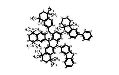 CC1(C)CCC(C)(C)c2cc(N3c4cc5c(cc4B4c6cc7c(cc6N(c6ccc8sc9ccccc9c8c6)c6cc(N8c9ccc(-c%10ccccc%10)cc9C9(C)CCCCC89C)cc3c64)C(C)(C)CCC7(C)C)C(C)(C)CCC5(C)C)ccc21